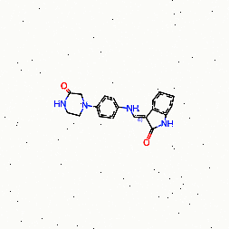 O=C1CN(c2ccc(N/C=C3/C(=O)Nc4ccccc43)cc2)CCN1